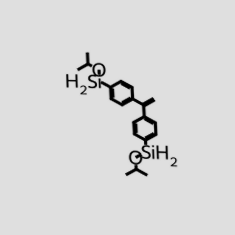 C=C(c1ccc([SiH2]OC(C)C)cc1)c1ccc([SiH2]OC(C)C)cc1